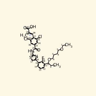 CCOCCCCOC(CC)c1cccc(-c2csc(NC(=O)c3cc(Cl)c(/C=C(\C)C(=O)O)c(Cl)c3)n2)c1F